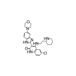 O=c1[nH]c2ccc(Cl)cc2c(NCCC2CCCCN2)c1-c1nc2cc(N3CCOCC3)ccc2[nH]1